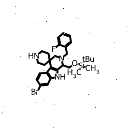 CC(C)(C)[Si](C)(C)OCC1c2[nH]c3cc(Br)ccc3c2C2(CCNCC2)CN1Cc1ccccc1F